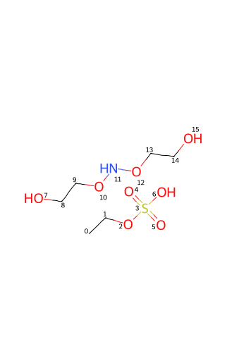 CCOS(=O)(=O)O.OCCONOCCO